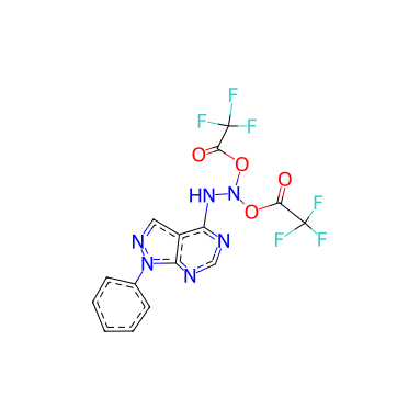 O=C(ON(Nc1ncnc2c1cnn2-c1ccccc1)OC(=O)C(F)(F)F)C(F)(F)F